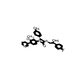 COc1cc(N2C(=O)[C@H](SC[C@@H](O)c3ccc(F)cc3)[C@H]2c2ccc(O)cc2)ccc1-c1cccnc1